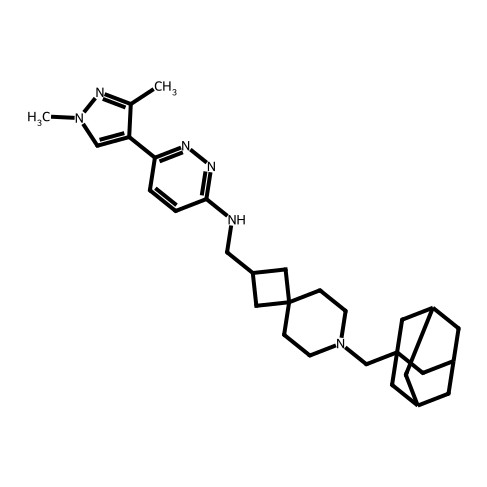 Cc1nn(C)cc1-c1ccc(NCC2CC3(CCN(CC45CC6CC(CC(C6)C4)C5)CC3)C2)nn1